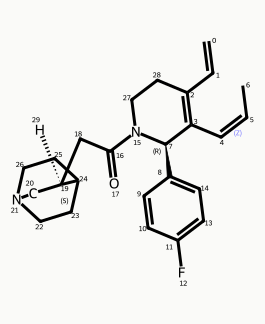 C=CC1=C(/C=C\C)[C@@H](c2ccc(F)cc2)N(C(=O)C[C@@H]2CN3CCC2CC3)CC1